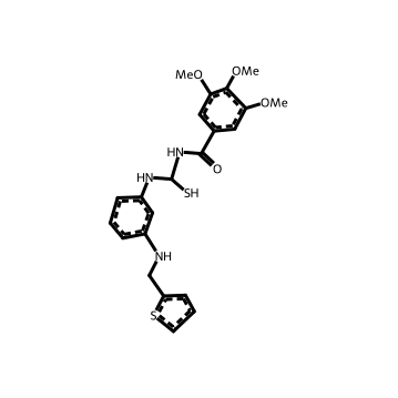 COc1cc(C(=O)NC(S)Nc2cccc(NCc3cccs3)c2)cc(OC)c1OC